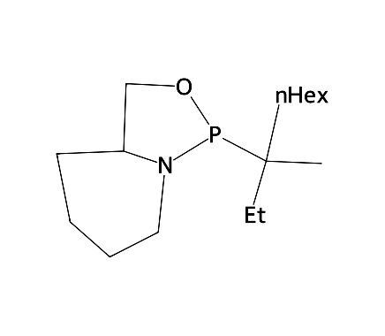 CCCCCCC(C)(CC)P1OCC2CCCCN21